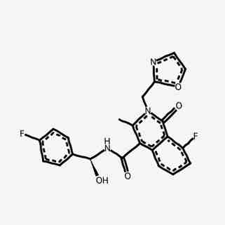 Cc1c(C(=O)N[C@@H](O)c2ccc(F)cc2)c2cccc(F)c2c(=O)n1Cc1ncco1